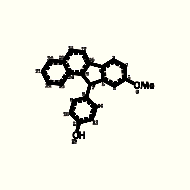 COc1ccc2c(c1)C(c1ccc(O)cc1)c1c-2ccc2ccccc12